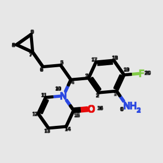 Nc1cc(C(CCC2CC2)N2C=CCCC2=O)ccc1F